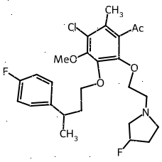 COc1c(Cl)c(C)c(C(C)=O)c(OCCN2CCC(F)C2)c1OCCC(C)c1ccc(F)cc1